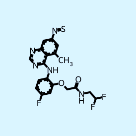 Cc1cc(N=S)cc2ncnc(Nc3ccc(F)cc3OCC(=O)NCC(F)F)c12